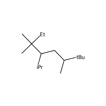 CCC(C)(C)[C](CC(C)C(C)(C)C)C(C)C